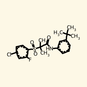 CC(C)(C)c1cccc(NC(=O)C(C)(C)S(=O)(=O)c2ccc(Cl)cc2F)c1